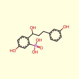 O=P(O)(O)c1cc(O)ccc1C(O)CCc1cccc(O)c1